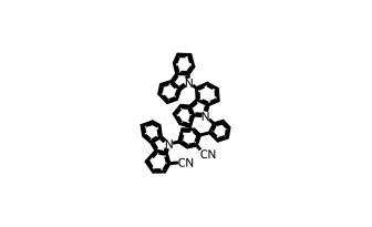 N#Cc1cc(-n2c3ccccc3c3cccc(C#N)c32)ccc1-c1ccccc1-n1c2ccccc2c2c(-n3c4ccccc4c4ccccc43)cccc21